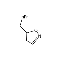 CCCCC1C[C]=NO1